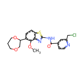 COc1c(C2COCCCO2)ccc2sc(NC(=O)c3ccnc(CCl)c3)nc12